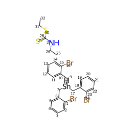 Brc1ccccc1[CH2][SnH]([CH2]c1ccccc1Br)[CH2]c1ccccc1Br.CCNC(=S)SCC